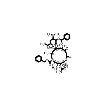 CC[C@H]1OC(=O)CC(=O)[C@H](C)[C@@H](O[C@@H]2OC(CN)CC(N(C)C)C2OC(=O)c2ccccc2)[C@](C)(OC)C[C@@H](C)CN(C(=O)OCc2ccccc2)[C@H](C)[C@@H](C)[C@]1(C)OC(N)=O